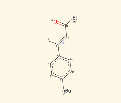 CCCCc1ccc(/C(C)=C/C(=O)CC)cc1